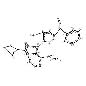 CNc1ncnn2c(C3CCC3)nc(-c3ccc(C(=O)c4ccccc4)cc3F)c12